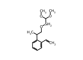 C=Cc1ccccc1C(C)CO[SiH2]C(OC)OC